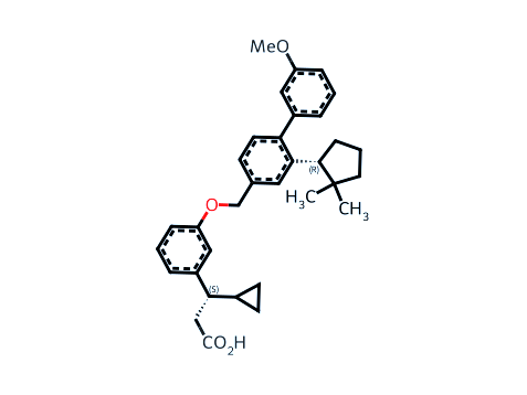 COc1cccc(-c2ccc(COc3cccc([C@@H](CC(=O)O)C4CC4)c3)cc2[C@@H]2CCCC2(C)C)c1